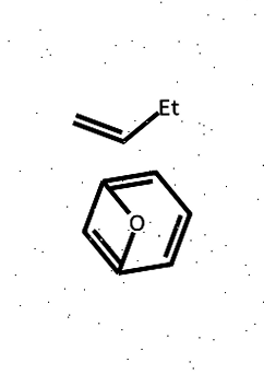 C=CCC.c1cc2cc(c1)O2